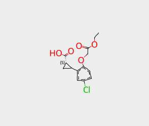 CCOC(=O)COc1ccc(Cl)cc1C1C[C@@H]1C(=O)O